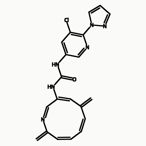 C=c1ccccc(=C)ncc(NC(=O)Nc2cnc(-n3cccn3)c(Cl)c2)c1